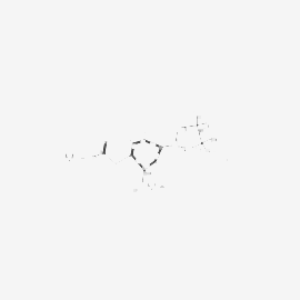 COC(=O)Cc1ccc(B2OC(C)(C)C(C)(C)O2)cc1SC